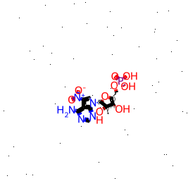 C[C@@]1(O)[C@H](O)[C@@H](COP(=O)(O)O)O[C@H]1n1cc([N+](=O)[O-])c2c(N)ncnc21